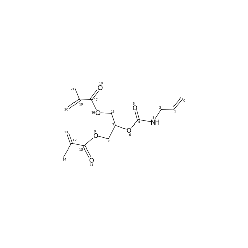 C=CCNC(=O)OC(COC(=O)C(=C)C)COC(=O)C(=C)C